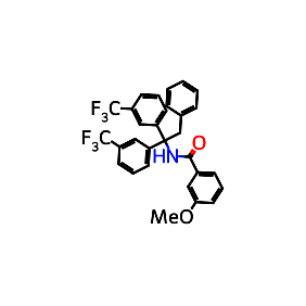 COc1cccc(C(=O)NC(Cc2ccccc2)(c2cccc(C(F)(F)F)c2)c2cccc(C(F)(F)F)c2)c1